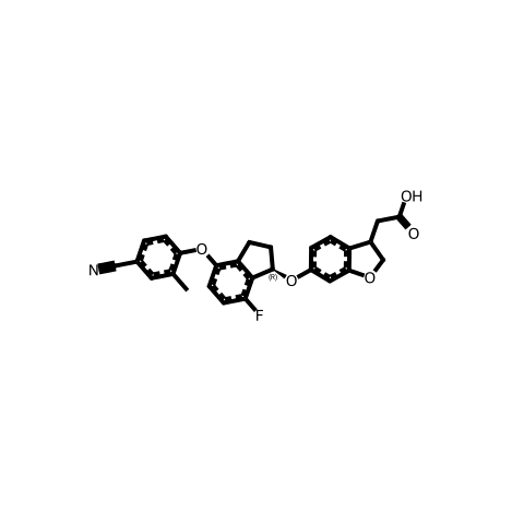 Cc1cc(C#N)ccc1Oc1ccc(F)c2c1CC[C@H]2Oc1ccc2c(c1)OCC2CC(=O)O